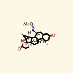 CO/N=C/[C@H]1CC2=CC(=O)CC[C@]2(C)C2=CC[C@@]3(C)C(C21)[C@@H]1C[C@@H]1[C@@]31CCC(=O)O1